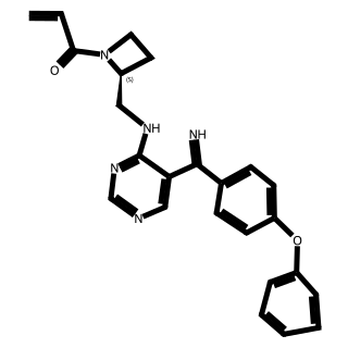 C=CC(=O)N1CC[C@H]1CNc1ncncc1C(=N)c1ccc(Oc2ccccc2)cc1